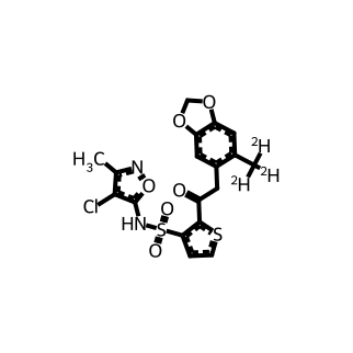 [2H]C([2H])([2H])c1cc2c(cc1CC(=O)c1sccc1S(=O)(=O)Nc1onc(C)c1Cl)OCO2